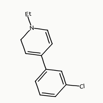 CCN1C=CC(c2cccc(Cl)c2)=CC1